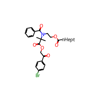 CCCCCCCC(=O)OCCN(C(=O)c1ccccc1)C(C)(C)C(=O)OCC(=O)c1ccc(Br)cc1